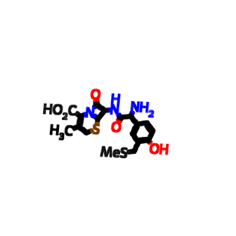 CSCc1cc(C(N)C(=O)NC2C(=O)N3C(C(=O)O)=C(C)CSC23)ccc1O